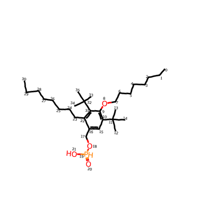 CCCCCCCCOc1c(C(C)(C)C)cc(CO[PH](=O)O)c(CCCCCCCC)c1C(C)(C)C